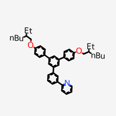 CCCCC(CC)COc1ccc(-c2cc(-c3ccc(OCC(CC)CCCC)cc3)cc(-c3cccc(-c4ccccn4)c3)c2)cc1